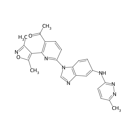 CC(=O)c1ccc(-n2cnc3cc(Nc4ccc(C)nn4)ccc32)nc1-c1c(C)noc1C